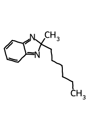 CCCCCCC1(C)N=c2ccccc2=N1